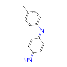 Cc1ccc(N=C2C=CC(=N)C=C2)cc1